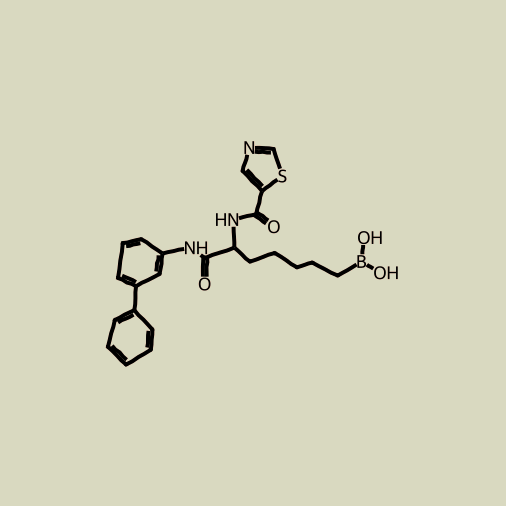 O=C(NC(CCCCCB(O)O)C(=O)Nc1cccc(-c2ccccc2)c1)c1cncs1